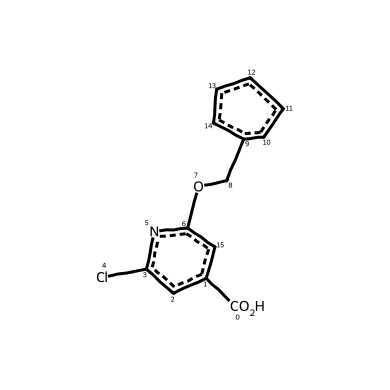 O=C(O)c1cc(Cl)nc(OCc2ccccc2)c1